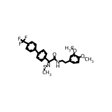 COc1ccc(CCNC(=O)C(=NSC)c2ccc(-c3ccc(C(F)(F)F)cc3)cc2)cc1OC